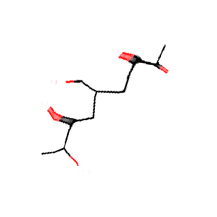 CC(=O)C(=O)CC(CO)CC(=O)C(C)O